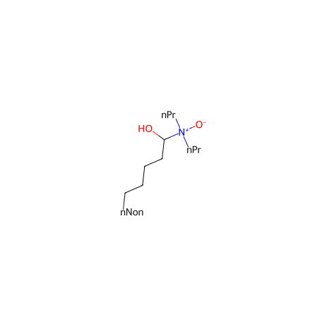 CCCCCCCCCCCCCC(O)[N+]([O-])(CCC)CCC